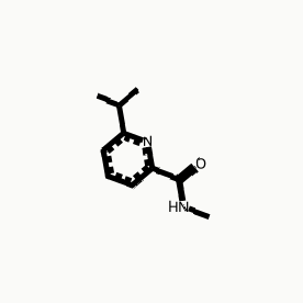 CNC(=O)c1cccc(C(C)C)n1